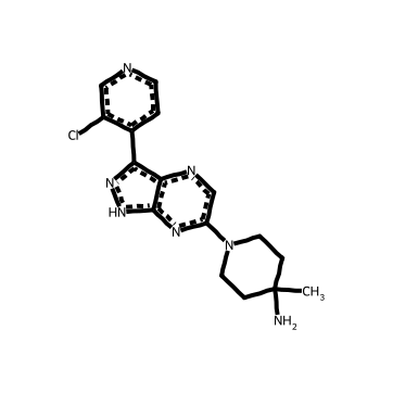 CC1(N)CCN(c2cnc3c(-c4ccncc4Cl)n[nH]c3n2)CC1